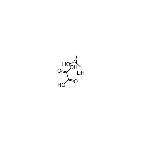 CN(C)O.O=C(O)C(=O)O.[LiH]